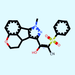 Cn1nc(/C(O)=C(/C#N)S(=O)(=O)c2ccccc2)c2c1-c1cccc3c1C2CCO3